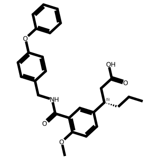 CCC[C@@H](CC(=O)O)c1ccc(OC)c(C(=O)NCc2ccc(Oc3ccccc3)cc2)c1